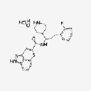 Cl.Cl.O=C(NC(CCc1ccccc1F)C1CCNCC1)C1=Cc2n[nH]c3cccc(c23)S1